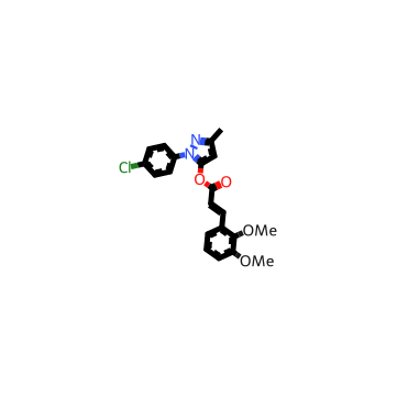 COc1cccc(/C=C/C(=O)Oc2cc(C)nn2-c2ccc(Cl)cc2)c1OC